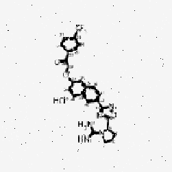 Cl.N=C(N)N1CCCC1c1nc(-c2ccc3cc(OCC(=O)c4ccc(C(F)(F)F)cc4)ccc3c2)no1